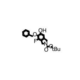 CC(C)(C)OC(=O)N1Cc2cc(O)c(OCc3ccccc3)c(F)c2C1